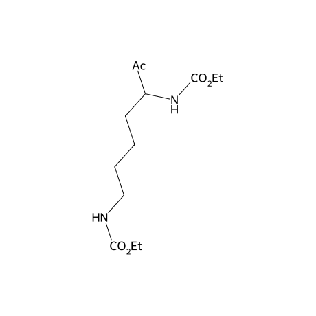 CCOC(=O)NCCCCC(NC(=O)OCC)C(C)=O